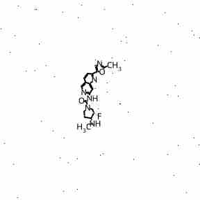 CN[C@H]1CCN(C(=O)Nc2cc3nc(-c4cnc(C)o4)ccc3cn2)C[C@@H]1F